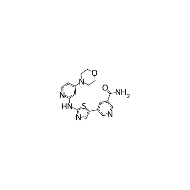 NC(=O)c1cncc(-c2cnc(Nc3cc(N4CCOCC4)ccn3)s2)c1